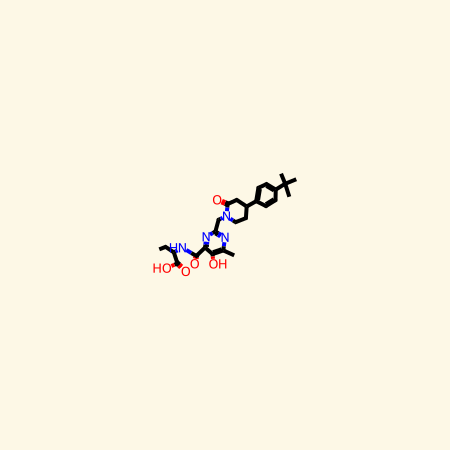 CCC(NC(=O)c1nc(CN2CCC(c3ccc(C(C)(C)C)cc3)CC2=O)nc(C)c1O)C(=O)O